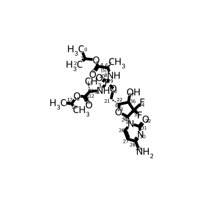 CC(C)OC(=O)[C@H](C)NP(=O)(N[C@@H](C)C(=O)OC(C)C)OC[C@H]1O[C@@H](n2ccc(N)nc2=O)C(F)(F)C1O